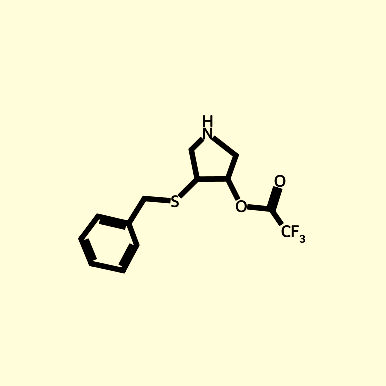 O=C(OC1CNCC1SCc1ccccc1)C(F)(F)F